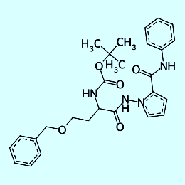 CC(C)(C)OC(=O)NC(CCOCc1ccccc1)C(=O)Nn1cccc1C(=O)Nc1ccccc1